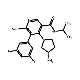 COc1ncc(C(=O)NC(C)C(F)(F)F)c(N2CC[C@H](N)C2)c1-c1cc(F)cc(F)c1